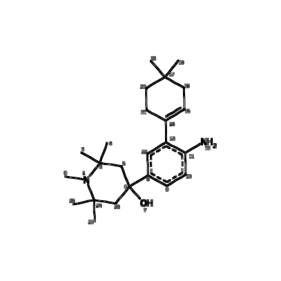 CN1C(C)(C)CC(O)(c2ccc(N)c(C3=CCC(C)(C)CC3)c2)CC1(C)C